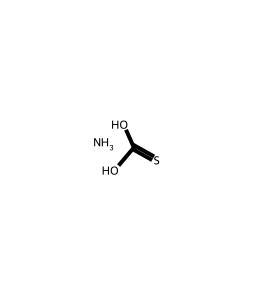 N.OC(O)=S